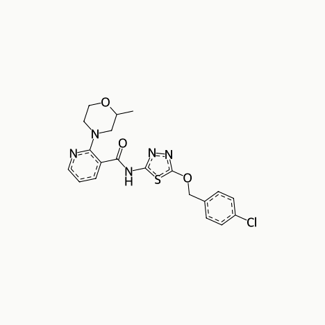 CC1CN(c2ncccc2C(=O)Nc2nnc(OCc3ccc(Cl)cc3)s2)CCO1